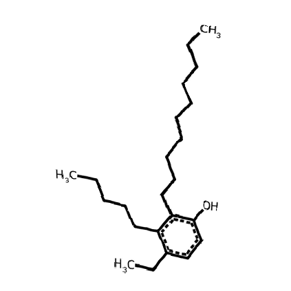 CCCCCCCCCCc1c(O)ccc(CC)c1CCCCC